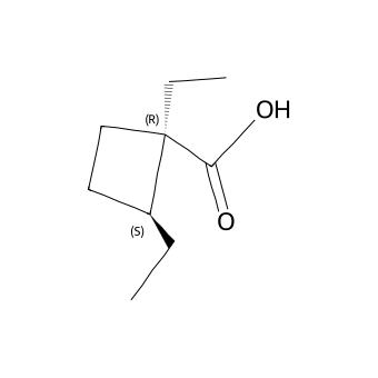 CC[C@H]1CC[C@@]1(CC)C(=O)O